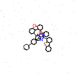 C1=CCCC(c2ccc(-c3nc(-c4cccc5c4sc4ccccc45)nc(-c4cccc5oc6cccc(-c7cccc8c7oc7ccccc78)c6c45)n3)cc2)=C1